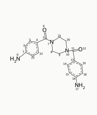 Nc1ccc(C(=O)N2CCN(C(=O)c3ccc(N)cc3)CC2)cc1